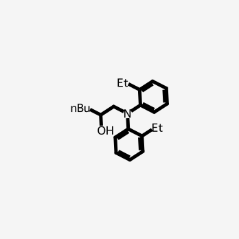 CCCCC(O)CN(c1ccccc1CC)c1ccccc1CC